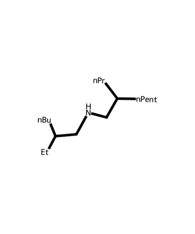 CCCCCC(CCC)CNCC(CC)CCCC